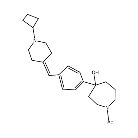 CC(=O)N1CCCC(O)(c2ccc(C=C3CCN(C4CCC4)CC3)cc2)CC1